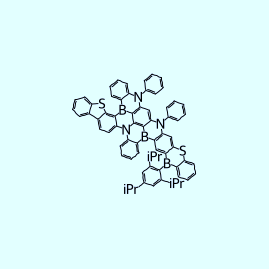 CC(C)c1cc(C(C)C)c(B2c3ccccc3Sc3cc4c(cc32)B2c3ccccc3N3c5ccc6c(sc7ccccc76)c5B5c6ccccc6N(c6ccccc6)c6cc(c2c3c65)N4c2ccccc2)c(C(C)C)c1